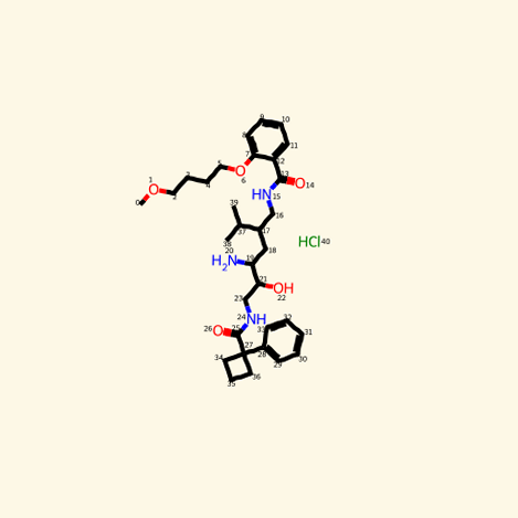 COCCCCOc1ccccc1C(=O)NCC(CC(N)C(O)CNC(=O)C1(c2ccccc2)CCC1)C(C)C.Cl